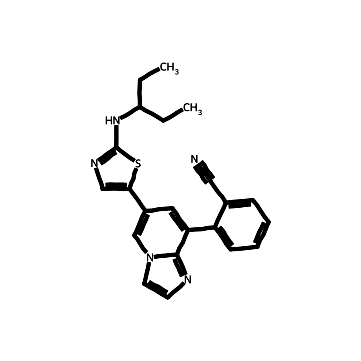 CCC(CC)Nc1ncc(-c2cc(-c3ccccc3C#N)c3nccn3c2)s1